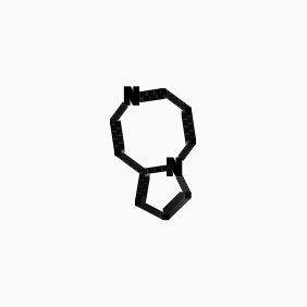 C1=Cn2cccc2C=CN=C1